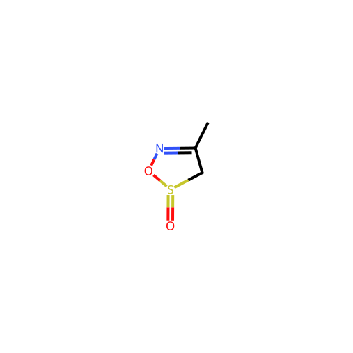 CC1=NOS(=O)C1